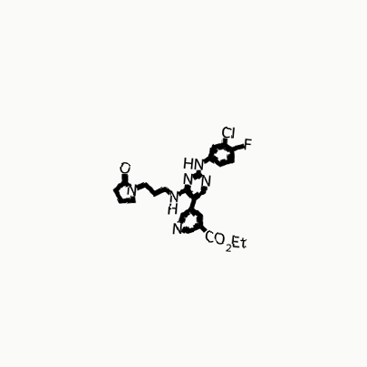 CCOC(=O)c1cncc(-c2cnc(Nc3ccc(F)c(Cl)c3)nc2NCCCN2CCCC2=O)c1